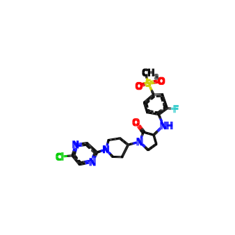 CS(=O)(=O)c1ccc(NC2CCN(C3CCN(c4cnc(Cl)cn4)CC3)C2=O)c(F)c1